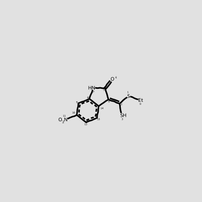 CCS/C(S)=C1\C(=O)Nc2cc([N+](=O)[O-])ccc21